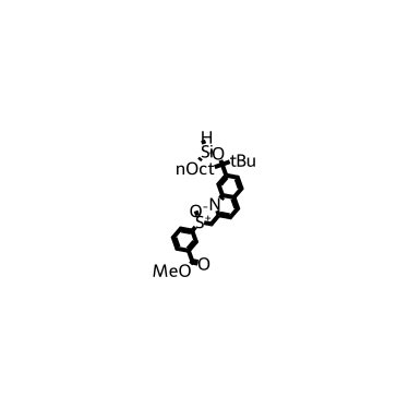 CCCCCCCCC(O[SiH](C)C)(c1ccc2ccc(C[S+]([O-])c3cccc(C(=O)OC)c3)nc2c1)C(C)(C)C